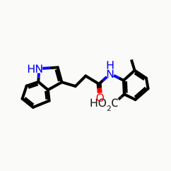 Cc1cccc(C(=O)O)c1NC(=O)CCc1c[nH]c2ccccc12